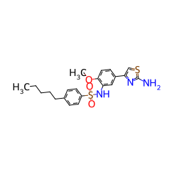 CCCCCc1ccc(S(=O)(=O)Nc2cc(-c3csc(N)n3)ccc2OC)cc1